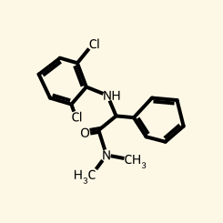 CN(C)C(=O)C(Nc1c(Cl)cccc1Cl)c1ccccc1